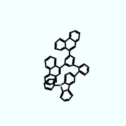 c1ccc(-n2c3ccccc3c3cc(-c4ccccc4-c4cc(-c5cc6ccccc6c6ccccc56)cc(-c5cc6ccccc6c6ccccc56)c4)ccc32)cc1